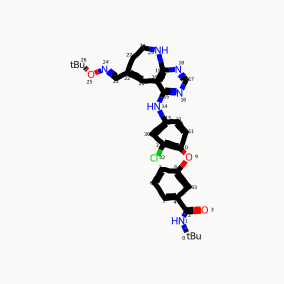 CC(C)(C)NC(=O)c1cccc(Oc2ccc(Nc3ncnc4c3C=C(C=NOC(C)(C)C)CCN4)cc2Cl)c1